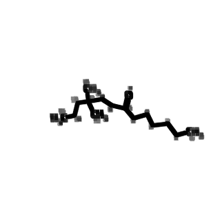 CCCCCCC(=O)CCC(C)(C)CCC